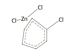 Clc1ccccc1.[Cl][Zn][Cl]